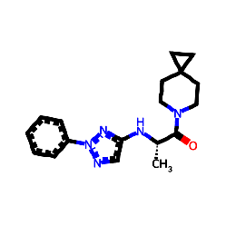 C[C@H](Nc1cnn(-c2ccccc2)n1)C(=O)N1CCC2(CC1)CC2